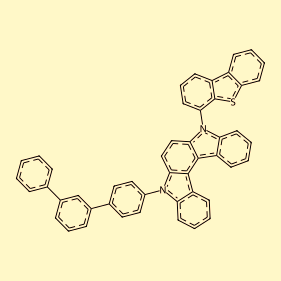 c1ccc(-c2cccc(-c3ccc(-n4c5ccccc5c5c6c7ccccc7n(-c7cccc8c7sc7ccccc78)c6ccc54)cc3)c2)cc1